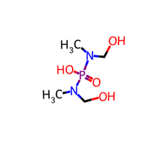 CN(CO)P(=O)(O)N(C)CO